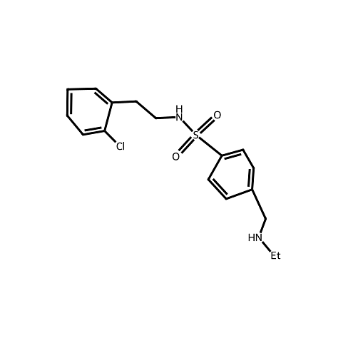 CCNCc1ccc(S(=O)(=O)NCCc2ccccc2Cl)cc1